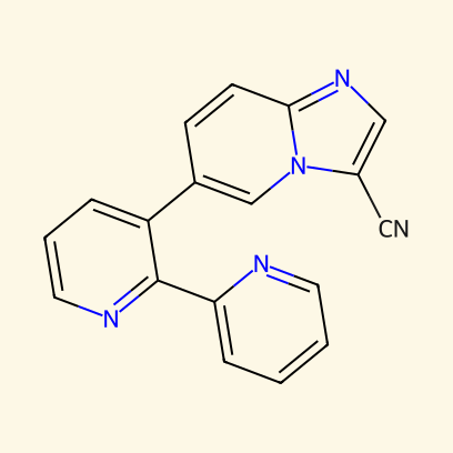 N#Cc1cnc2ccc(-c3cccnc3-c3ccccn3)cn12